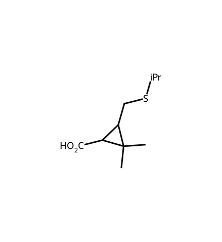 CC(C)SCC1C(C(=O)O)C1(C)C